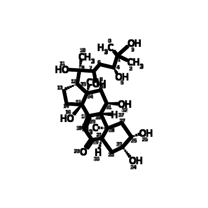 CC(C)(O)[C@H](O)CC(O)[C@](C)(O)[C@H]1CC[C@@]2(O)C3=CC(=O)[C@@H]4C[C@@H](O)[C@@H](O)C[C@]4(C)[C@H]3[C@H](O)C[C@]12C